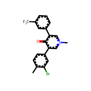 Cc1ccc(-c2cn(C)cc(-c3cccc(C(F)(F)F)c3)c2=O)cc1Br